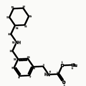 CC(C)(C)OC(=O)NCc1cccc(CNCC2CCCCC2)c1